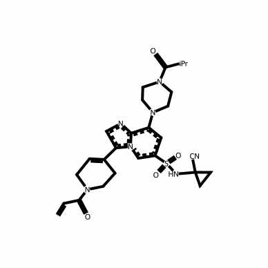 C=CC(=O)N1CC=C(c2cnc3c(N4CCN(C(=O)C(C)C)CC4)cc(S(=O)(=O)NC4(C#N)CC4)cn23)CC1